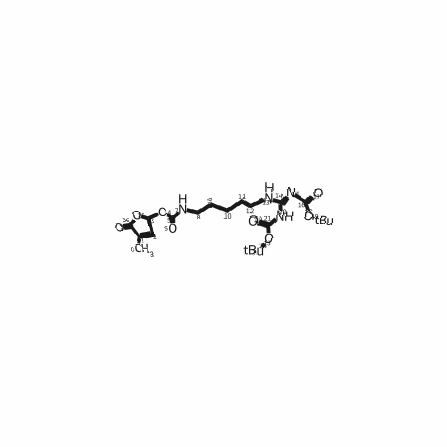 CC1=CC(OC(=O)NCCCCCNC(=NC(=O)OC(C)(C)C)NC(=O)OC(C)(C)C)OC1=O